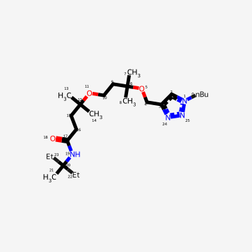 CCCCn1cc(COC(C)(C)CCOC(C)(C)CCC(=O)NC(C)(CC)CC)nn1